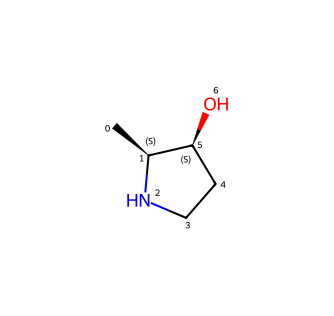 C[C@@H]1NCC[C@@H]1O